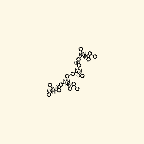 c1ccc(-c2nc(-c3ccc4oc5cc(-c6nc(-c7ccc(-c8cccc(-c9nc(-c%10ccc%11oc%12c(-c%13nc(-c%14ccccc%14)c%14oc%15ccccc%15c%14n%13)cccc%12c%11c%10)nc(-n%10c%11ccccc%11c%11c(-c%12ccccc%12)cccc%11%10)n9)c8)cc7)c7oc8ccccc8c7n6)ccc5c4c3)nc(-n3c4ccccc4c4c(-c5ccccc5)cccc43)n2)cc1